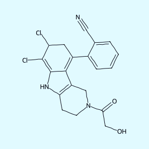 N#Cc1ccccc1C1=c2c3c([nH]c2=C(Cl)C(Cl)C1)CCN(C(=O)CO)C3